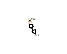 CCCC1CCC(c2ccc(OC(F)(F)[C@@H](C)CC)cc2)CC1